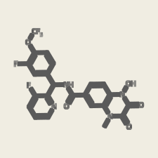 Cn1c(=O)c(=O)n(O)c2ccc(C(=O)NC(c3ccc(OC(F)(F)F)c(F)c3)c3ncccc3F)cc21